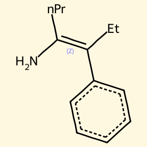 CCC/C(N)=C(\CC)c1ccccc1